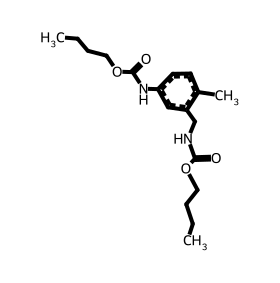 CCCCOC(=O)NCc1cc(NC(=O)OCCCC)ccc1C